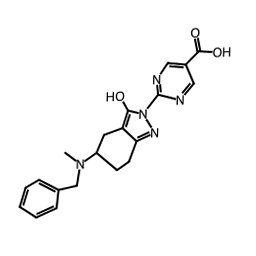 CN(Cc1ccccc1)C1CCc2nn(-c3ncc(C(=O)O)cn3)c(O)c2C1